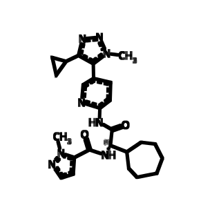 Cn1nccc1C(=O)N[C@H](C(=O)Nc1ccc(-c2c(C3CC3)nnn2C)cn1)C1CCCCCC1